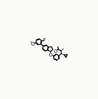 COc1ccc(F)c(-c2ccc3c(c2)CC[C@H]3Oc2cccc([C@H](C3CC3)[C@H](C)C(C)=O)c2)c1